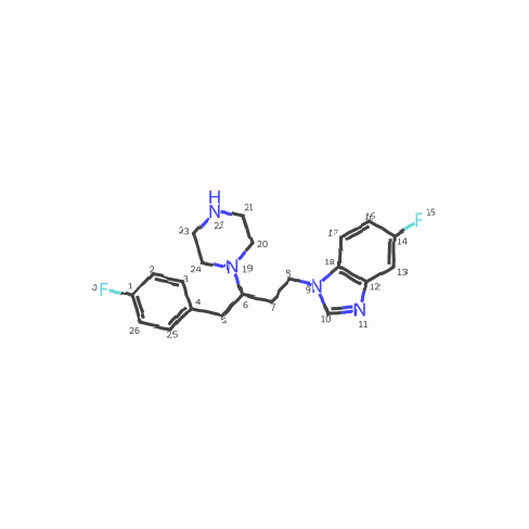 Fc1ccc(CC(CCn2cnc3cc(F)ccc32)N2CCNCC2)cc1